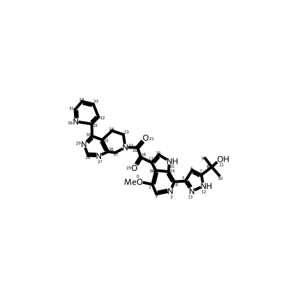 COc1cnc(-c2cc(C(C)(C)O)[nH]n2)c2[nH]cc(C(=O)C(=O)N3CCc4c(ncnc4-c4ccccn4)C3)c12